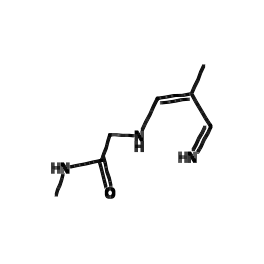 CNC(=O)CN/C=C(/C)C=N